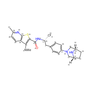 CNc1c(C(=O)N[C@@H](Cc2ccc(N3C[C@H]4CC[C@@H](C3)N4)cc2)C(F)(F)F)sc2nc(C)ccc12